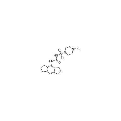 CCN1CCN(S(=O)(=O)NC(=O)Nc2c3c(cc4c2CCC4)CCC3)CC1